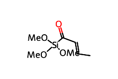 C/C=C/C(=O)[Si](OC)(OC)OC